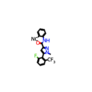 Cn1nc(C(=O)Nc2ccccc2C#N)cc1-c1c(F)cccc1C(F)(F)F